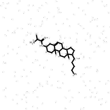 CC(C)CCC[C@@H](C)C1CCC2C3CC=C4CC(OC(=O)C(C)N)CCC4(C)C3CCC21C